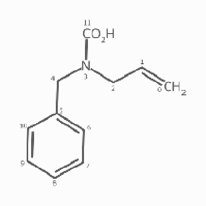 C=CCN(Cc1ccccc1)C(=O)O